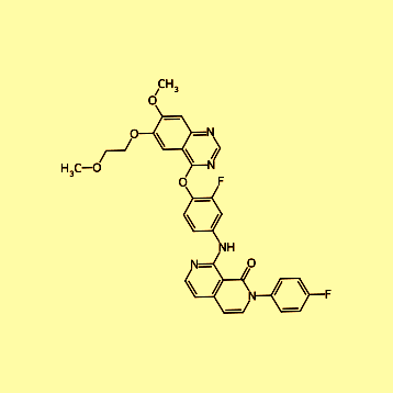 COCCOc1cc2c(Oc3ccc(Nc4nccc5ccn(-c6ccc(F)cc6)c(=O)c45)cc3F)ncnc2cc1OC